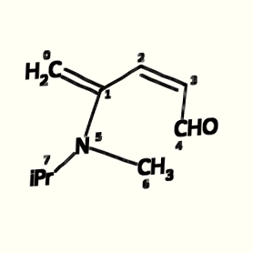 C=C(/C=C\C=O)N(C)C(C)C